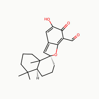 CC1(C)CCCC2(C)[C@H]1CCC[C@@]21C=C2C=C(O)C(=O)C(C=O)=C2O1